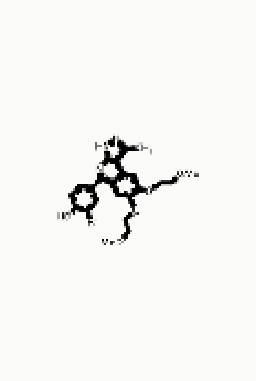 COCCOc1cc2c(-c3ccc(O)c(Br)c3)nc3[nH]nc(C)c3c2cc1OCCOC